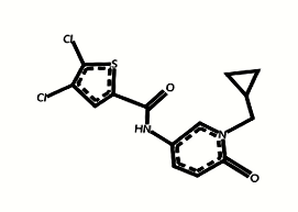 O=C(Nc1ccc(=O)n(CC2CC2)c1)c1cc(Cl)c(Cl)s1